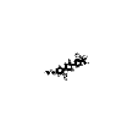 CCN=Nc1ccc(-c2ccc(-c3ccc(C(C)(C)C)c(OC)c3)c(F)c2)c(OC)c1